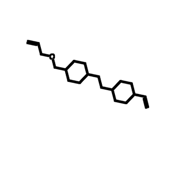 C=CCOCC1CCC(CCC2CCC(C=C)CC2)CC1